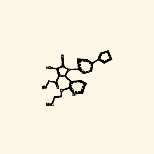 COCCOc1ncccc1C1C(C(=O)CC(C)(C)C)=C(O)C(=O)N1c1ccc(-c2ccsc2)cc1